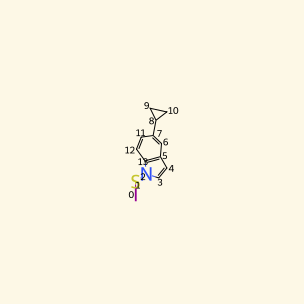 ISn1ccc2cc(C3CC3)ccc21